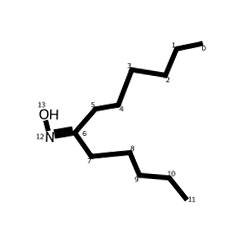 CCCCCC/C(CCCCC)=N\O